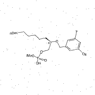 CCCCCCCCCCCCCCC[C@H](COP(=O)(O)OC)OCc1cc(F)cc(C#N)c1